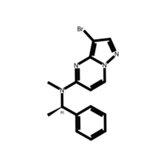 C[C@H](c1ccccc1)N(C)c1ccn2ncc(Br)c2n1